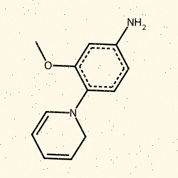 COc1cc(N)ccc1N1C=CC=CC1